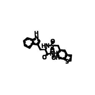 O=C(NO)[C@@H](Cc1c[nH]c2ccccc12)NS(=O)(=O)Cc1ccc2sccc2c1